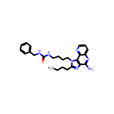 CCCCc1nc2c(N)nc3cccnc3c2n1CCCCNC(=O)NCc1ccccc1